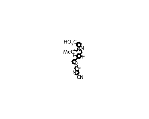 COCCn1c(Cc2cc(F)c(-c3cccc(OCc4ncc(C#N)cc4F)n3)cc2F)nc2ccc(C(=O)O)cc21